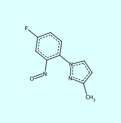 Cc1ccn(-c2ccc(F)cc2N=O)n1